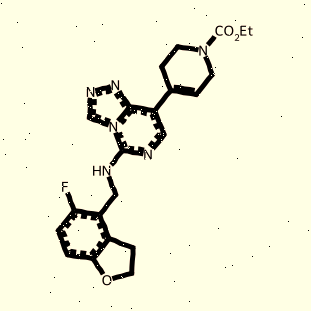 CCOC(=O)N1CC=C(c2cnc(NCc3c(F)ccc4c3CCO4)n3cnnc23)CC1